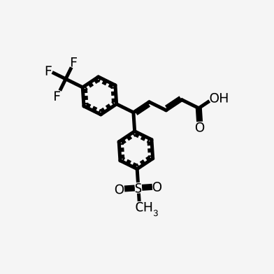 CS(=O)(=O)c1ccc(/C(=C\C=C\C(=O)O)c2ccc(C(F)(F)F)cc2)cc1